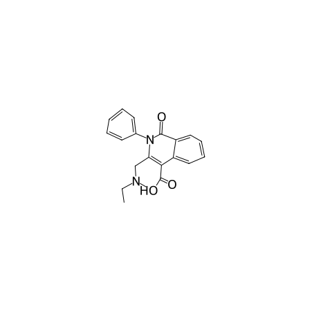 CCN(C)Cc1c(C(=O)O)c2ccccc2c(=O)n1-c1ccccc1